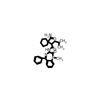 CC(C)CC(C(=O)NC1N=C(c2ccccc2)c2ccccc2N(C)C1=O)C1(C(N)=O)CCCCC1